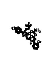 COc1ccccc1C(CCOC(N)=O)NC(=O)Cn1nc(-c2ccc(Cl)cc2)n(CCC(F)(F)F)c1=O